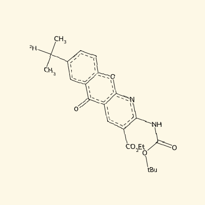 [2H]C(C)(C)c1ccc2oc3nc(NC(=O)OC(C)(C)C)c(C(=O)OCC)cc3c(=O)c2c1